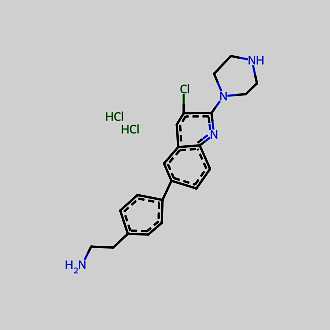 Cl.Cl.NCCc1ccc(-c2ccc3nc(N4CCNCC4)c(Cl)cc3c2)cc1